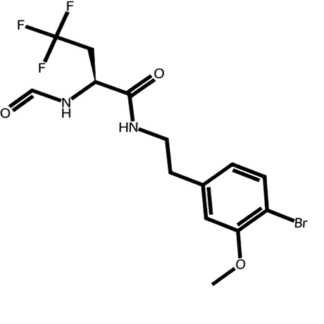 COc1cc(CCNC(=O)[C@H](CC(F)(F)F)NC=O)ccc1Br